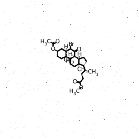 COC(=O)CC[C@@H](C)[C@H]1CC[C@H]2[C@@H]3C(=O)C(Br)[C@@H]4C[C@H](OC(C)=O)CC[C@]4(C)[C@H]3CC[C@]12C